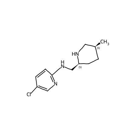 C[C@H]1CC[C@@H](CNc2ccc(Cl)cn2)NC1